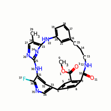 COC(=O)c1cc2ccc1C(=O)NCCCc1cccc(c1)Nc1nc(ncc1C)Nc1cc-2cnc1F